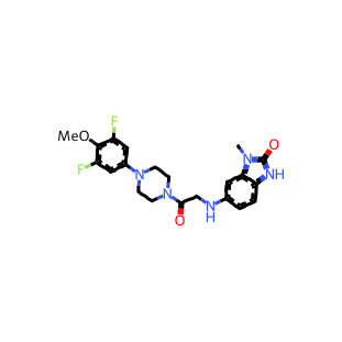 COc1c(F)cc(N2CCN(C(=O)CNc3ccc4[nH]c(=O)n(C)c4c3)CC2)cc1F